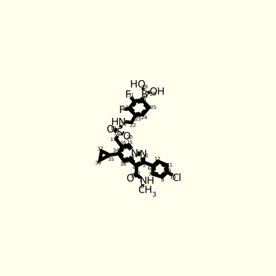 CNC(=O)c1c(-c2ccc(Cl)cc2)nn2cc(CS(=O)(=O)NCc3ccc(B(O)O)c(F)c3F)c(C3CC3)cc12